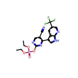 CCOP(=O)(OCC)Oc1ncc(C#N)c(-c2c[nH]c3ncc(C(F)(F)F)cc23)n1